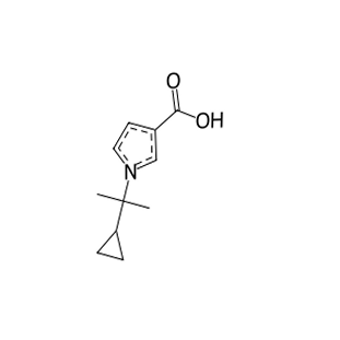 CC(C)(C1CC1)n1ccc(C(=O)O)c1